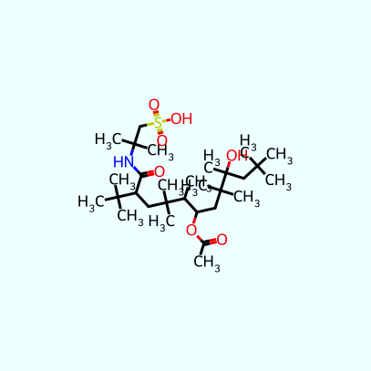 CC(=O)OC(CC(C)(C)C(C)(O)CC(C)(C)C)C(C)C(C)(C)CC(C(=O)NC(C)(C)CS(=O)(=O)O)C(C)(C)C